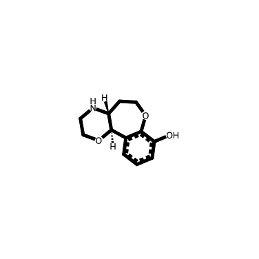 Oc1cccc2c1OCC[C@H]1NCCO[C@H]21